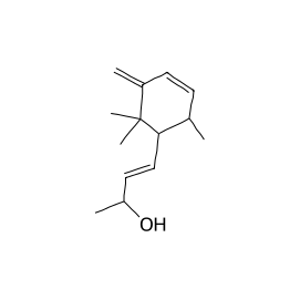 C=C1C=CC(C)C(/C=C/C(C)O)C1(C)C